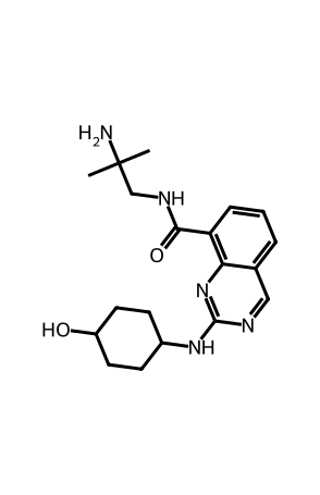 CC(C)(N)CNC(=O)c1cccc2cnc(NC3CCC(O)CC3)nc12